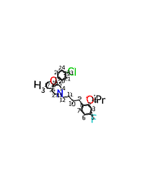 CC(C)Oc1cc(F)ccc1CCCCN1CCC(C)(Oc2ccc(Cl)cc2)CC1